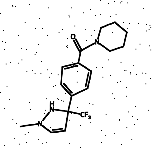 CN1C=CC(c2ccc(C(=O)N3CCCCC3)cc2)(C(F)(F)F)N1